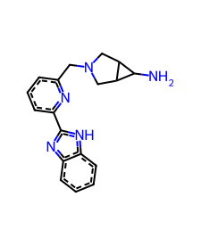 NC1C2CN(Cc3cccc(-c4nc5ccccc5[nH]4)n3)CC12